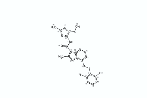 Cc1nc2c(OCc3c(F)cccc3F)cccn2c1C(=O)Nc1cn(C)nc1CO